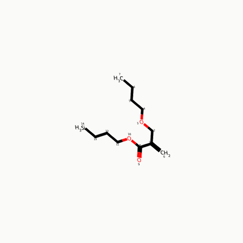 C=C(COCCCC)C(=O)OCCC[SiH3]